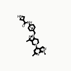 Cc1cc(N2CCc3c(c(C)nn3CC34CCC(NC(=O)C5CNC5)(CC3)CC4)C2)c2cnn(C)c2n1